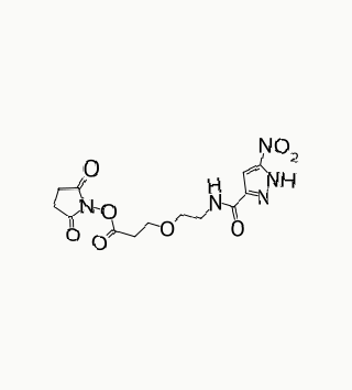 O=C(CCOCCNC(=O)c1cc([N+](=O)[O-])[nH]n1)ON1C(=O)CCC1=O